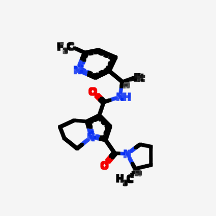 CC[C@@H](NC(=O)c1cc(C(=O)N2CCC[C@@H]2C)n2c1CCCC2)c1ccc(C(F)(F)F)nc1